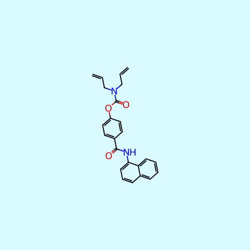 C=CCN(CC=C)C(=O)Oc1ccc(C(=O)Nc2cccc3ccccc23)cc1